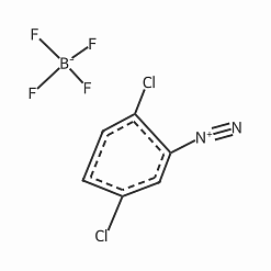 F[B-](F)(F)F.N#[N+]c1cc(Cl)ccc1Cl